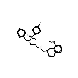 COc1cccc2c1CC(CNCCCN(Cc1ccccc1)S(=O)(=O)c1ccc(F)cc1)CC2